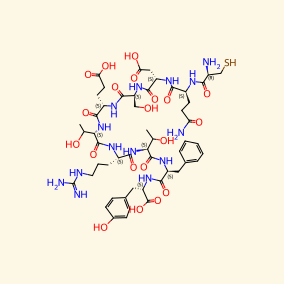 CC(O)[C@H](NC(=O)[C@H](CCCNC(=N)N)NC(=O)[C@@H](NC(=O)[C@H](CCC(=O)O)NC(=O)[C@H](CO)NC(=O)[C@H](CC(=O)O)NC(=O)[C@H](CCC(N)=O)NC(=O)[C@@H](N)CS)C(C)O)C(=O)N[C@@H](Cc1ccccc1)C(=O)N[C@@H](Cc1ccc(O)cc1)C(=O)O